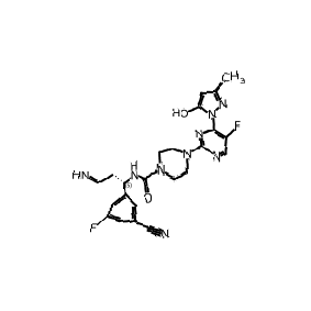 Cc1cc(O)n(-c2nc(N3CCN(C(=O)N[C@@H](CC=N)c4cc(F)cc(C#N)c4)CC3)ncc2F)n1